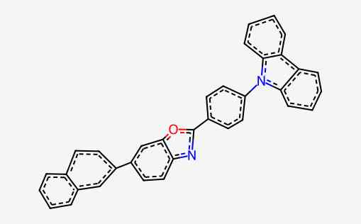 c1ccc2cc(-c3ccc4nc(-c5ccc(-n6c7ccccc7c7ccccc76)cc5)oc4c3)ccc2c1